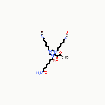 NC(=O)CCCCCC(Br)N1CN(CCCCCCN=C=O)CN(CCCCCCN=C=O)C1C(=O)C(=O)C=O